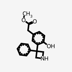 COC(=O)Cc1ccc(O)c(C2(c3ccccc3)CNC2)c1